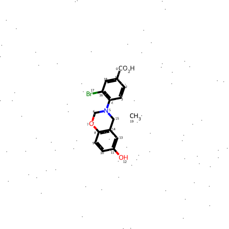 O=C(O)c1ccc(N2COc3ccc(O)cc3C2)c(Br)c1.[CH3]